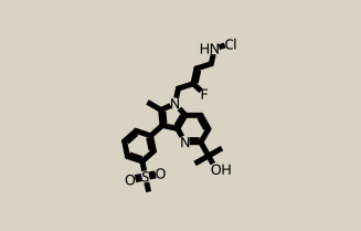 Cc1c(-c2cccc(S(C)(=O)=O)c2)c2nc(C(C)(C)O)ccc2n1C/C(F)=C/CNCl